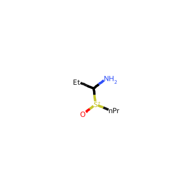 CCC[S+]([O-])C(N)CC